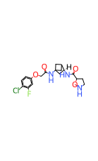 O=C(COc1ccc(Cl)c(F)c1)NC12CC(C1)[C@@H](NC(=O)C1CCNO1)C2